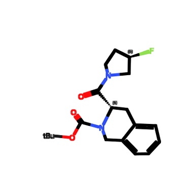 CC(C)(C)OC(=O)N1Cc2ccccc2C[C@H]1C(=O)N1CC[C@@H](F)C1